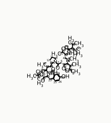 CC[C@H](C)[C@@H]([C@@H](CC(=O)N1CCC[C@H]1[C@H](OC)[C@@H](C)C(=O)N[C@@H](Cc1ccc(O)cc1)C(=O)OC(C)(C)C)OC)N(C)C[C@@H](NC(=O)[C@@H](NC)C(C)C)C(C)C